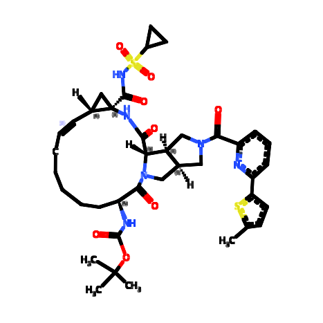 Cc1ccc(-c2cccc(C(=O)N3C[C@H]4CN5C(=O)[C@@H](NC(=O)OC(C)(C)C)CCCCC/C=C\[C@@H]6C[C@@]6(C(=O)NS(=O)(=O)C6CC6)NC(=O)[C@@H]5[C@H]4C3)n2)s1